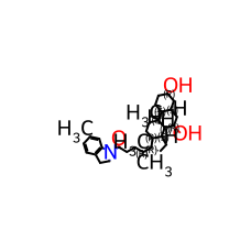 Cc1ccc2c(c1)N(C(=O)CC[C@@H](C)[C@H]1CC[C@H]3[C@@H]4[C@H](O)C[C@@H]5C[C@H](O)CC[C@]5(C)[C@H]4CC[C@]13C)CC2